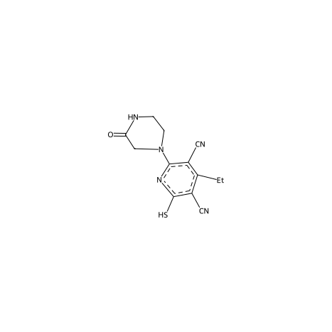 CCc1c(C#N)c(S)nc(N2CCNC(=O)C2)c1C#N